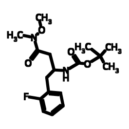 CON(C)C(=O)CC(Cc1ccccc1F)NC(=O)OC(C)(C)C